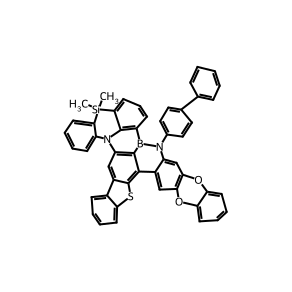 C[Si]1(C)c2ccccc2N2c3cc4c(sc5ccccc54)c4c3B(c3cccc1c32)N(c1ccc(-c2ccccc2)cc1)c1cc2c(cc1-4)Oc1ccccc1O2